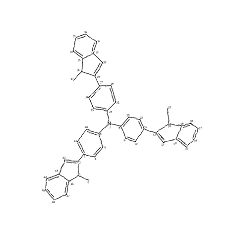 CC1C(c2ccc(N(c3ccc(C4=Cc5ccccc5C4C)cc3)c3ccc(C4=Cc5ccccc5C4C)cc3)cc2)=Cc2ccccc21